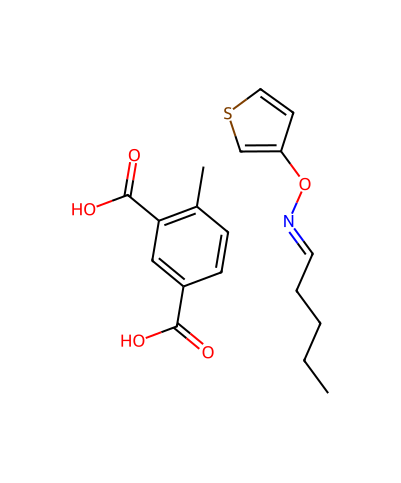 CCCCC=NOc1ccsc1.Cc1ccc(C(=O)O)cc1C(=O)O